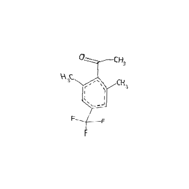 CC(=O)c1c(C)cc(C(F)(F)F)cc1C